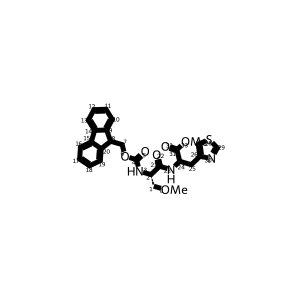 COC[C@H](NC(=O)OCC1c2ccccc2-c2ccccc21)C(=O)NC(Cc1cscn1)C(=O)OC